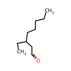 CCCCCC(CC)C[C]=O